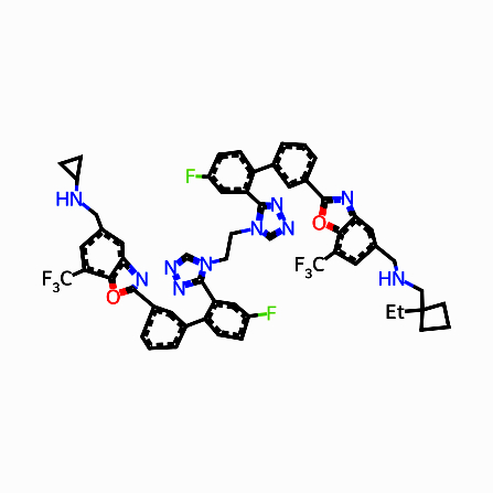 CCC1(CNCc2cc(C(F)(F)F)c3oc(-c4cccc(-c5ccc(F)cc5-c5nncn5CCn5cnnc5-c5cc(F)ccc5-c5cccc(-c6nc7cc(CNC8CC8)cc(C(F)(F)F)c7o6)c5)c4)nc3c2)CCC1